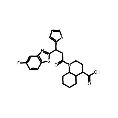 O=C(O)C1CCN(C(=O)CC(c2cccs2)c2nc3cc(F)ccc3s2)C2CCCCC12